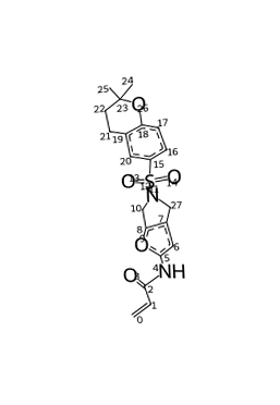 C=CC(=O)Nc1cc2c(o1)CN(S(=O)(=O)c1ccc3c(c1)CCC(C)(C)O3)C2